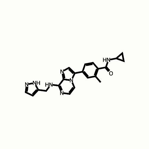 Cc1cc(-c2cnc3c(NCc4ccn[nH]4)nccn23)ccc1C(=O)NC1CC1